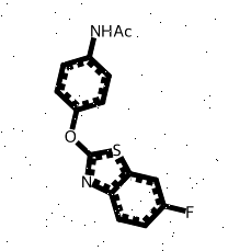 CC(=O)Nc1ccc(Oc2nc3ccc(F)cc3s2)cc1